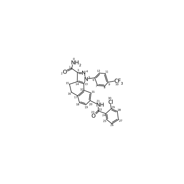 NC(=O)c1nn(-c2ccc(C(F)(F)F)cc2)c2c1CCc1ccc(NC(=O)c3ccccc3Cl)cc1-2